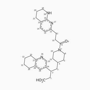 O=C(O)CC(CC1CCN(C(=O)CCc2ccc3c(n2)NCCC3)CC1)c1cnc2c(c1)CCCC2